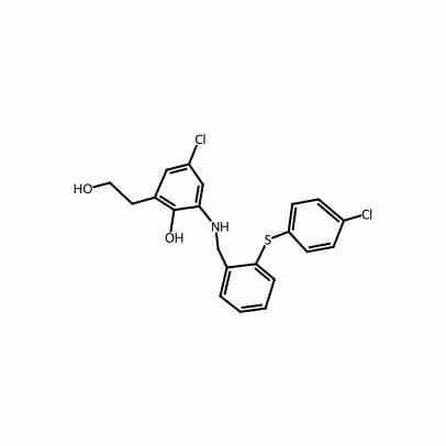 OCCc1cc(Cl)cc(NCc2ccccc2Sc2ccc(Cl)cc2)c1O